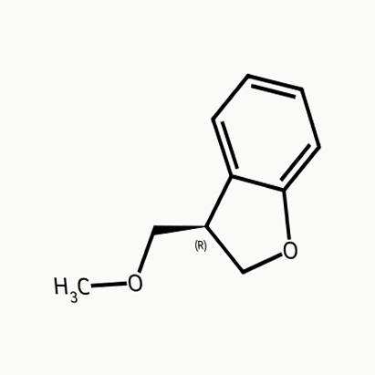 COC[C@@H]1COc2ccccc21